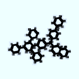 C1=CCC(c2cc(-c3ccccc3)cc(-c3ccccc3)c2-c2ccc(N(c3ccc(-c4ccccc4)cc3)c3ccc4ccccc4c3)cc2)C=C1